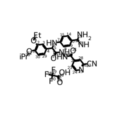 CCOc1cc(C(Nc2ccc(C(=N)N)cc2)C(=O)NNC(=O)c2ccnc(C#N)c2)ccc1OC(C)C.O=C(O)C(F)(F)F